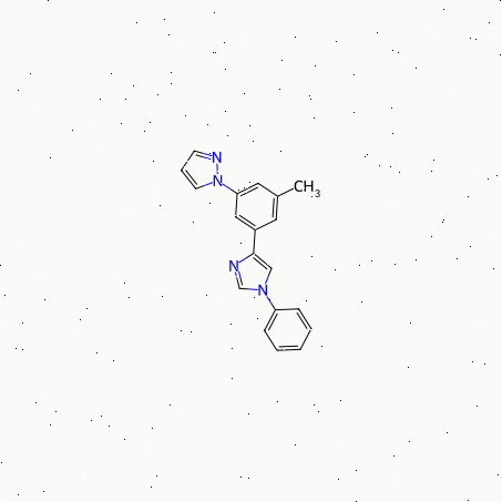 Cc1cc(-c2cn(-c3ccccc3)cn2)cc(-n2cccn2)c1